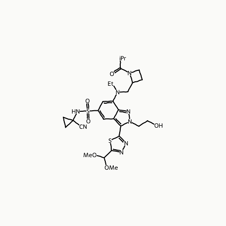 CCN(CC1CCN1C(=O)C(C)C)c1cc(S(=O)(=O)NC2(C#N)CC2)cc2c(-c3nnc(C(OC)OC)s3)n(CCO)nc12